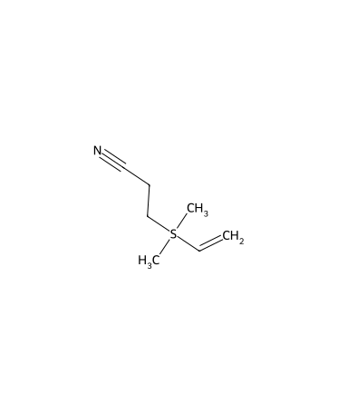 C=CS(C)(C)CCC#N